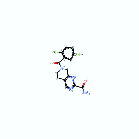 NC(=O)c1n[c]c2c(n1)CN(C(=O)c1cc(F)ccc1F)CC2